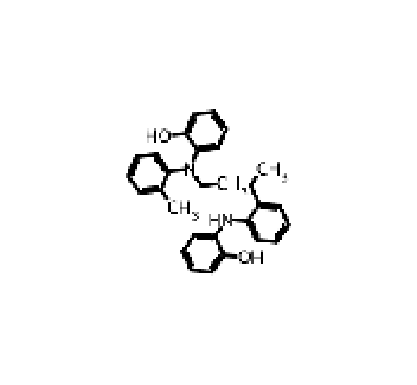 CCN(c1ccccc1C)c1ccccc1O.CCc1ccccc1Nc1ccccc1O